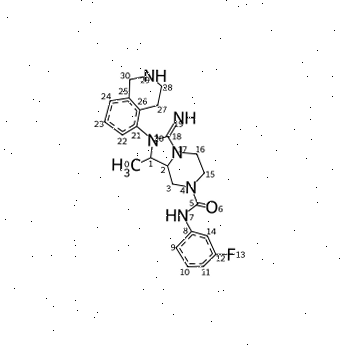 CC1C2CN(C(=O)Nc3cccc(F)c3)CCN2C(=N)N1c1cccc2c1CCNC2